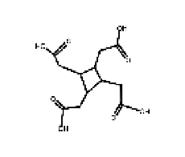 O=C(O)CC1C(CC(=O)O)C(CC(=O)O)C1CC(=O)O